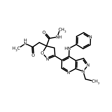 CCn1ncc2c(Nc3ccncc3)c(C3=NOC(CC(=O)NC)(C(=O)NC)C3)cnc21